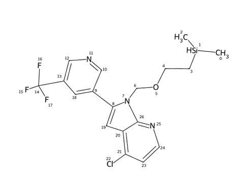 C[SiH](C)CCOCn1c(-c2cncc(C(F)(F)F)c2)cc2c(Cl)ccnc21